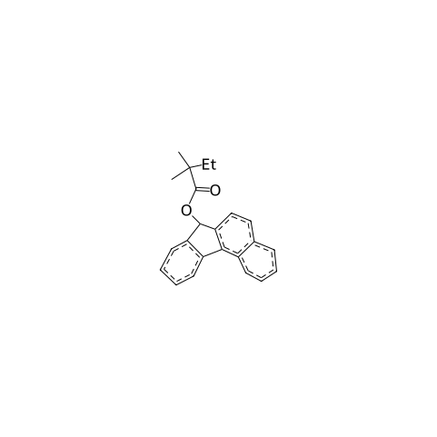 CCC(C)(C)C(=O)OC1c2ccccc2-c2c1ccc1ccccc21